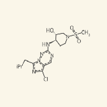 CC(C)Cc1nc(Cl)c2cnc(N[C@@H]3CCN(S(C)(=O)=O)C[C@H]3O)nn12